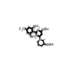 CCCCc1cc(N2CCCC(NC)C2)nc(-c2c(N)cc(C(F)(F)F)cc2N)n1